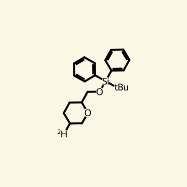 [2H]C1CCC(CO[Si](c2ccccc2)(c2ccccc2)C(C)(C)C)OC1